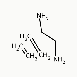 C=C.C=C.NCCN